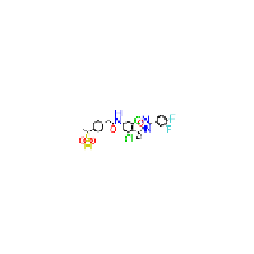 CC(c1ccc(CC(=O)Nc2cc(Cl)c(C3(c4nc(-c5ccc(F)c(F)c5)no4)CC3)c(Cl)c2)cc1)[SH](=O)=O